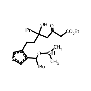 CCOC(=O)CC(=O)CC(O)(CCc1cscc1C(O[SiH](C)C)C(C)(C)C)C(C)C